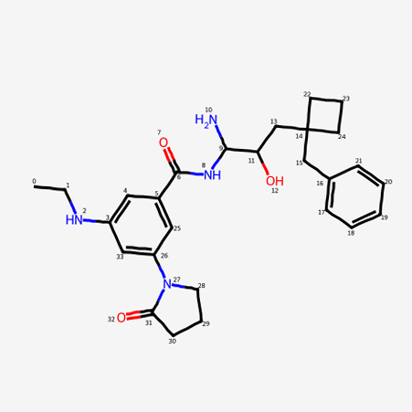 CCNc1cc(C(=O)NC(N)C(O)CC2(Cc3ccccc3)CCC2)cc(N2CCCC2=O)c1